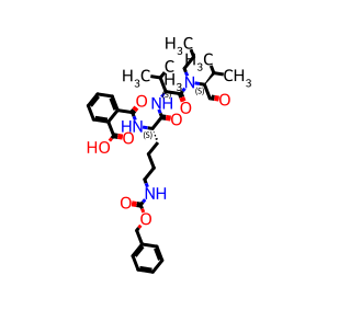 CCCN(C(=O)[C@@H](NC(=O)[C@H](CCCCNC(=O)OCc1ccccc1)NC(=O)c1ccccc1C(=O)O)C(C)C)[C@H](C=O)C(C)C